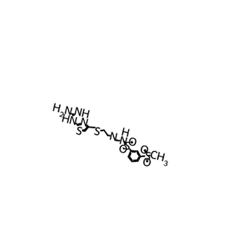 CS(=O)(=O)c1cccc(S(=O)(=O)NC=NCCSCc2csc(NC(=N)N)n2)c1